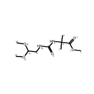 COC(=O)C(C)(C)NC(=O)NCC(OC)OC